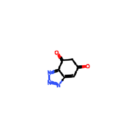 O=C1C=C2N=NN=C2C(=O)C1